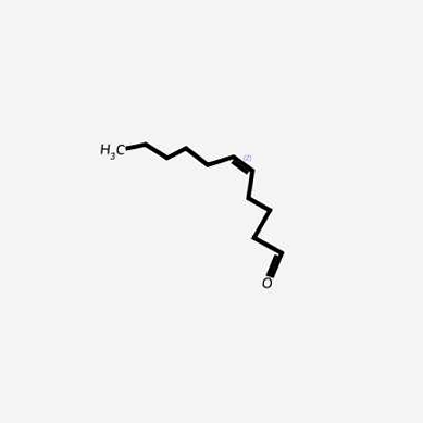 CCCCC/C=C\CCCC=O